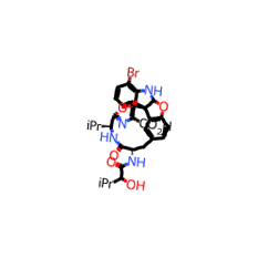 CC(C)C(O)C(=O)N[C@H]1Cc2ccc3c(c2)C2(c4cccc(Br)c4NC2O3)c2oc(nc2C(=O)O)[C@H](C(C)C)NC1=O